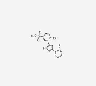 CS(=O)(=O)c1ccc(O)c(-c2cc(-c3ccccc3F)n[nH]2)c1